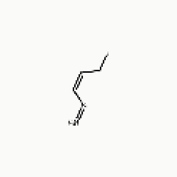 N=N/C=C\CI